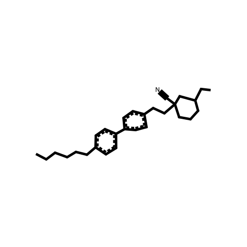 CCCCCCc1ccc(-c2ccc(CCC3(C#N)CCCC(CC)C3)cc2)cc1